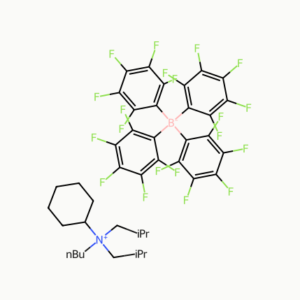 CCCC[N+](CC(C)C)(CC(C)C)C1CCCCC1.Fc1c(F)c(F)c([B-](c2c(F)c(F)c(F)c(F)c2F)(c2c(F)c(F)c(F)c(F)c2F)c2c(F)c(F)c(F)c(F)c2F)c(F)c1F